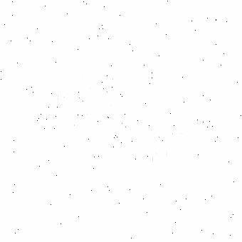 CN(C)CC(CS)n1cc2c(c1-c1ccccc1)c(=O)n(C)c(=O)n2C